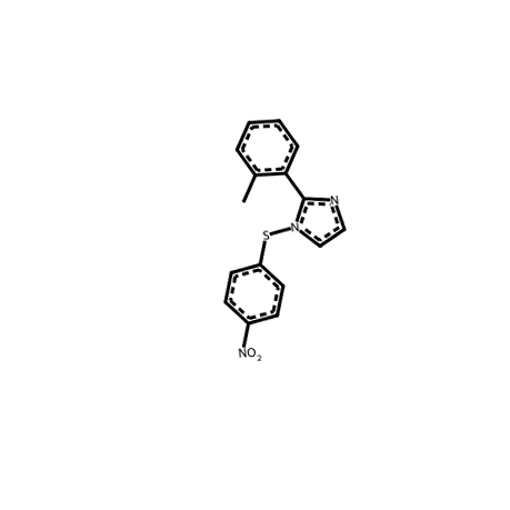 Cc1ccccc1-c1nccn1Sc1ccc([N+](=O)[O-])cc1